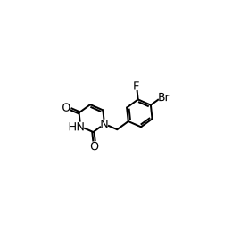 O=c1ccn(Cc2ccc(Br)c(F)c2)c(=O)[nH]1